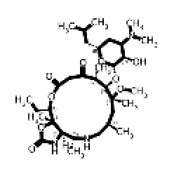 CC[C@H]1OC(=O)CC(=O)[C@H](C)[C@@H](O[C@@H]2O[C@H](CC(C)C)CC(N(C)C)[C@H]2O)[C@](C)(OC)C[C@@H](C)CN[C@H](C)[C@H]2NC(=O)O[C@@]21C